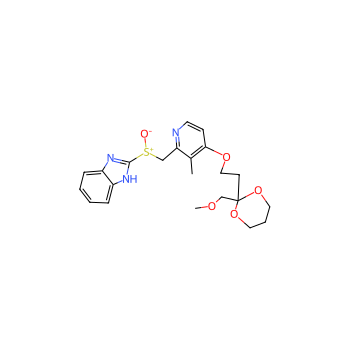 COCC1(CCOc2ccnc(C[S+]([O-])c3nc4ccccc4[nH]3)c2C)OCCCO1